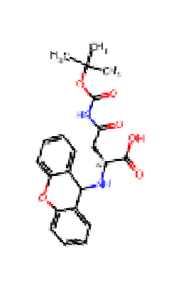 CC(C)(C)OC(=O)NC(=O)C[C@H](NC1c2ccccc2Oc2ccccc21)C(=O)O